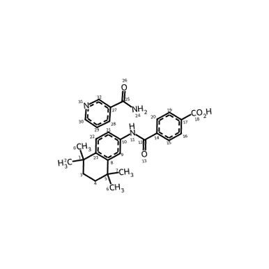 CC1(C)CCC(C)(C)c2cc(NC(=O)c3ccc(C(=O)O)cc3)ccc21.NC(=O)c1cccnc1